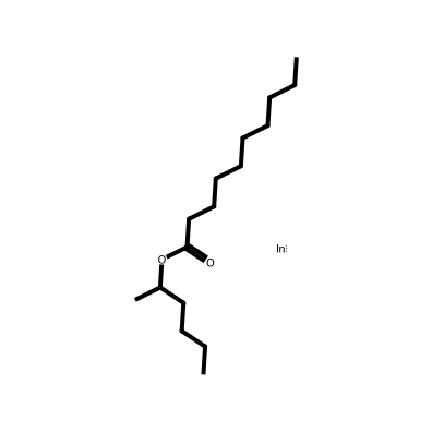 CCCCCCCCCC(=O)OC(C)CCCC.[In]